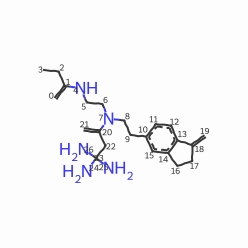 C=C(CC)NCCN(CCc1ccc2c(c1)CCC2=C)C(=C)CC(N)(N)N